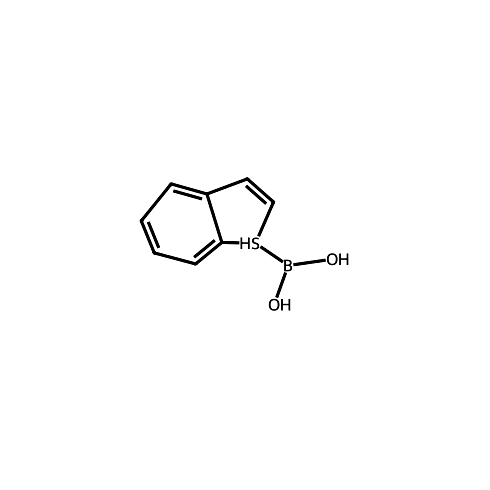 OB(O)[SH]1C=Cc2ccccc21